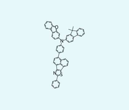 CC1(C)c2ccccc2-c2ccc(N(c3ccc(-c4ccc5c6c(cccc46)-c4sc(-c6ccccc6)nc4-5)cc3)c3ccc4c(c3)oc3ccccc34)cc21